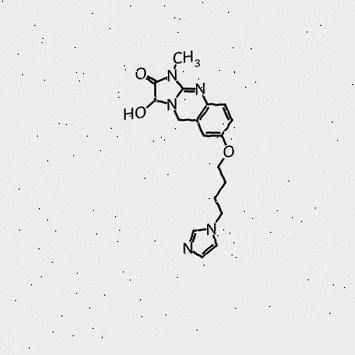 CN1C(=O)C(O)N2Cc3cc(OCCCCn4ccnc4)ccc3N=C12